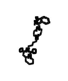 O=C1CC2CCCCN2C(=O)N1CCCCN1CCN(c2nsc3ccccc23)CC1